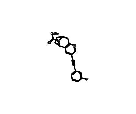 COC(=O)N1C2CCC1c1cc(C#Cc3cccc(F)c3)cnc1C2